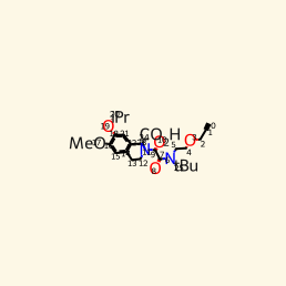 C#CCOCCN(C(=O)C(=O)N1CCc2cc(OC)c(OC(C)C)cc2C1C(=O)O)C(C)(C)C